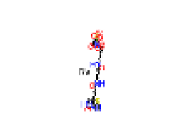 O=C(CCCCCNC(=O)CCCCC1SC[C@@H]2NC(=O)N[C@H]12)NCCCCCC(=O)ON1C(=O)CC(S(=O)(=O)[O-])C1=O.[Na+]